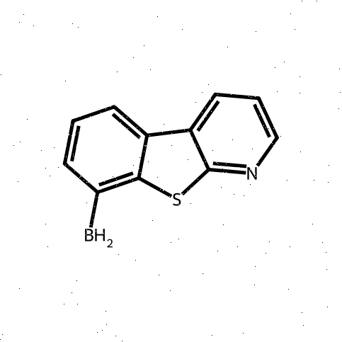 Bc1cccc2c1sc1ncccc12